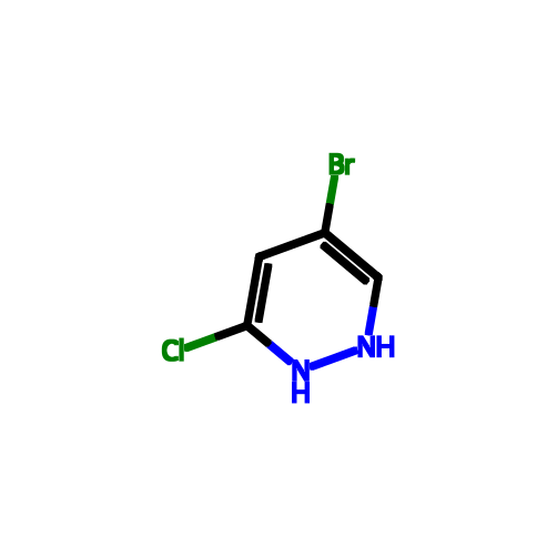 ClC1=CC(Br)=CNN1